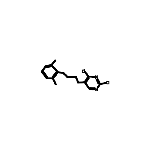 Cc1cccc(C)c1CCCCc1cnc(Cl)nc1Cl